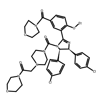 CCOc1ccc(C(=O)N2CCOCC2)cc1C1=N[C@@H](c2ccc(Cl)cc2)[C@@H](c2ccc(Cl)cc2)N1C(=O)N1CCN(CC(=O)N2CCOCC2)CC1